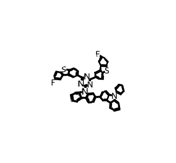 Fc1ccc2sc3ccc(-c4nc(-c5ccc6sc7ccc(F)cc7c6c5)nc(-n5c6ccccc6c6ccc(-c7ccc8c(c7)c7ccccc7n8-c7ccccc7)cc65)n4)cc3c2c1